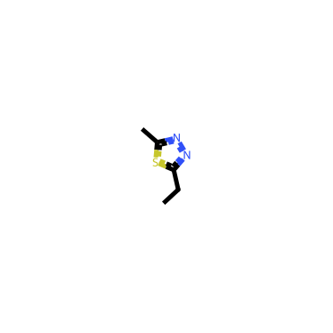 CCc1nnc(C)s1